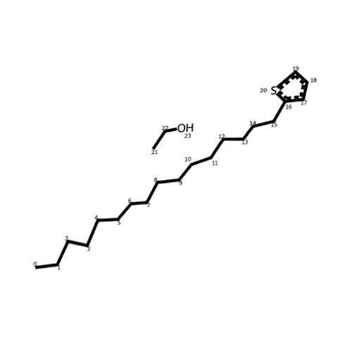 CCCCCCCCCCCCCCCCc1cccs1.CCO